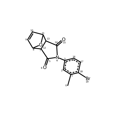 Cc1cc(N2C(=O)C3C4C=CC(O4)C3C2=O)ccc1Br